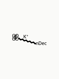 CCCCCCCCCCCCCCCCCCCCOS(=O)(=O)[O-].[K+]